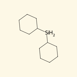 C1CCC([SiH2]C2CCCCC2)CC1